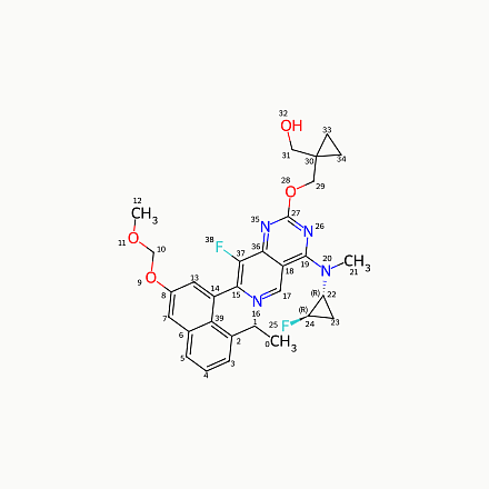 CCc1cccc2cc(OCOC)cc(-c3ncc4c(N(C)[C@@H]5C[C@H]5F)nc(OCC5(CO)CC5)nc4c3F)c12